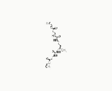 CCOC(=O)CCNC(=O)NCCCC(C)CNC(=O)NCCC(=O)OCC